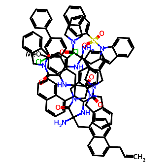 C=CCc1cccc2c(CC(N)(NC(C(=O)N3Cc4ccccc4C3)C(c3cccc4ccccc34)C(Cc3ccc(OC)cc3Cl)(NC(C(=O)N3Cc4ccccc4C3)C(NC(N)(Cc3cc4ccccc4n3S(=O)(=O)c3ccccc3)C(=O)N3Cc4ccccc4C3)c3ccc(-c4ccccc4)cc3Cl)C(=O)N3Cc4ccccc4C3)C(=O)N3Cc4ccccc4C3)cccc12